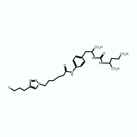 O=C(O)CCC(NC(=O)NC(Cc1ccc(NC(=O)CCCCCn2cc(CCCF)nn2)cc1)C(=O)O)C(=O)O